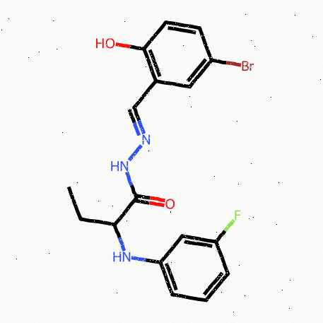 CCC(Nc1cccc(F)c1)C(=O)NN=Cc1cc(Br)ccc1O